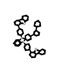 C1=CC(N(c2ccccc2)c2ccc(-c3cccc4c3oc3ccccc34)cc2)(N(c2ccccc2)c2ccc(-c3cccc4c3oc3ccccc34)cc2)CC=C1c1cccc(-c2ccccc2)c1